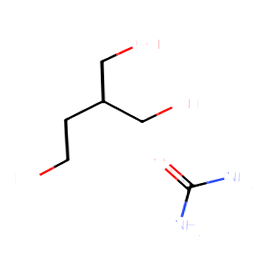 NC(N)=O.OCCC(CO)CO